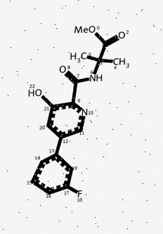 COC(=O)C(C)(C)NC(=O)c1ncc(-c2cccc(F)c2)cc1O